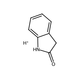 O=C1Cc2ccccc2N1.[H+]